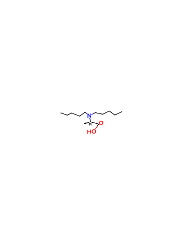 CCCCCN(CCCCC)[C@H](C)C(=O)O